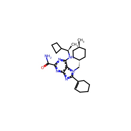 C[C@@H](Nc1nc(C(N)=O)nc2nc(C3=CCCCC3)n(C[C@H]3CC[C@H](C)CC3)c12)C1CCC1